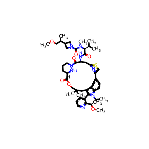 CCn1c(-c2cccnc2[C@H](C)OC)c2c3cc(ccc31)-c1csc(n1)C[C@H](NC(=O)[C@H](C(C)C)N(C)C(=O)N1CC([C@H](C)COC)C1)C(=O)N1CCC[C@H](N1)C(=O)OCC(C)(C)C2